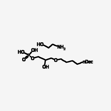 CCCCCCCCCCCCCCOCC(O)COP(=O)(O)O.NCCO